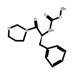 CC(C)(C)OC(=O)N[C@@H](Cc1ccccc1)C(=O)N1CCCOC1